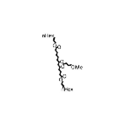 CCCCCC/C=C/COC(=O)CCCCCC(CCCCCC(=O)OC/C=C/CCCCCC)OC(=O)CCCOC